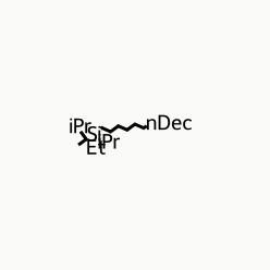 CCCCCCCCCCCCCCCC[Si](C(C)C)(C(C)C)C(C)(C)CC